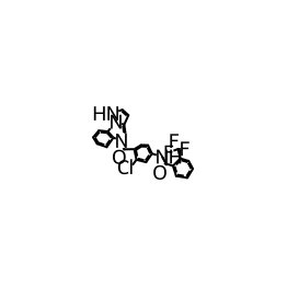 O=C(Nc1ccc(C(=O)N2C=C3C=CNN3c3ccccc32)c(Cl)c1)c1ccccc1C(F)(F)F